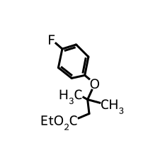 CCOC(=O)CC(C)(C)Oc1ccc(F)cc1